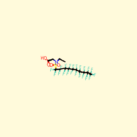 CCN(CC(=O)O)S(=O)(=O)C(F)(F)C(F)(F)C(F)(F)C(F)(F)C(F)(F)C(F)(F)C(F)(F)C(F)(F)C(F)(F)C(F)(F)F